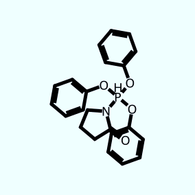 O=C1CCCN1[PH](Oc1ccccc1)(Oc1ccccc1)Oc1ccccc1